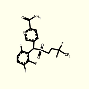 NC(=O)c1ccc(C(c2c(F)ccc(F)c2F)S(=O)(=O)CCC(F)(F)C(F)(F)F)cn1